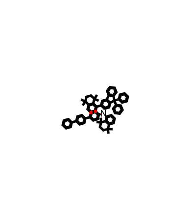 CC1(C)CCC(C)(C)c2c(-c3cc4c(cc3N(c3ccc(-c5ccc(-c6ccccc6)cc5)cc3)c3cccc5c3C(C)(C)CCC5(C)C)C(c3ccccc3)(c3ccccc3)c3ccccc3-4)cccc21